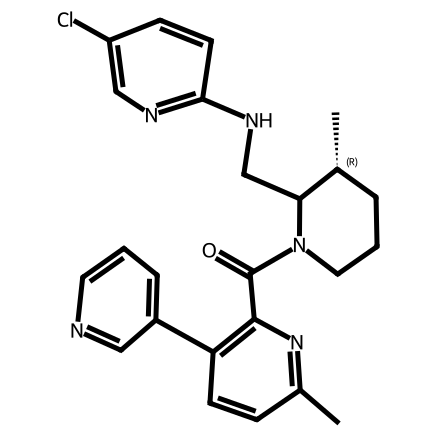 Cc1ccc(-c2cccnc2)c(C(=O)N2CCC[C@@H](C)C2CNc2ccc(Cl)cn2)n1